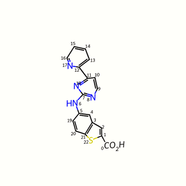 O=C(O)c1cc2cc(Nc3nccc(-c4ccccn4)n3)ccc2s1